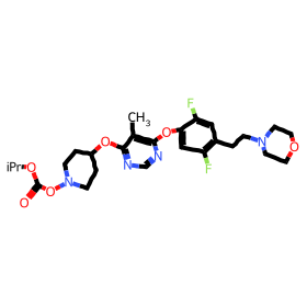 Cc1c(Oc2cc(F)c(CCN3CCOCC3)cc2F)ncnc1OC1CCN(OC(=O)OC(C)C)CC1